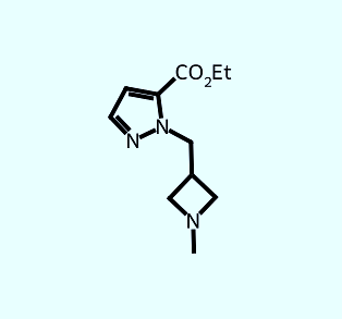 CCOC(=O)c1ccnn1CC1CN(C)C1